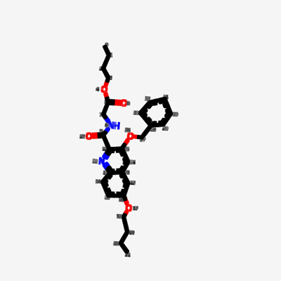 CCCCOC(=O)CNC(=O)c1nc2ccc(OCCCC)cc2cc1OCc1ccccc1